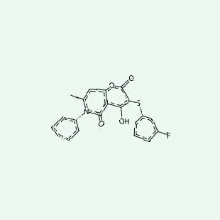 Cc1cc2oc(=O)c(Sc3cccc(F)c3)c(O)c2c(=O)n1-c1ccccc1